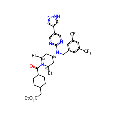 CCOC(=O)CC1CCC(C(=O)N2[C@H](CC)C[C@@H](N(Cc3cc(C(F)(F)F)cc(C(F)(F)F)c3)c3ncc(-c4cn[nH]c4)cn3)C[C@@H]2CC)CC1